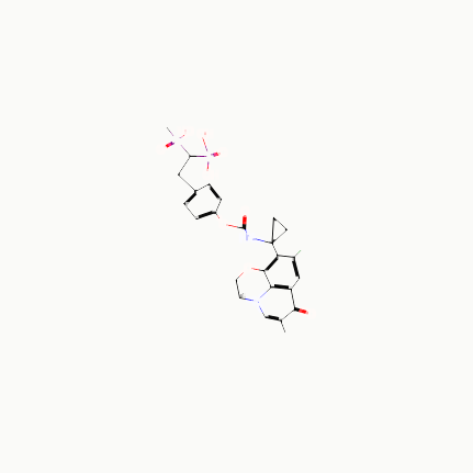 C[C@@H]1COc2c(C3(NC(=O)Oc4ccc(CC(P(C)(=O)O)P(=O)(O)O)cc4)CC3)c(F)cc3c(=O)c(C(=O)O)cn1c23